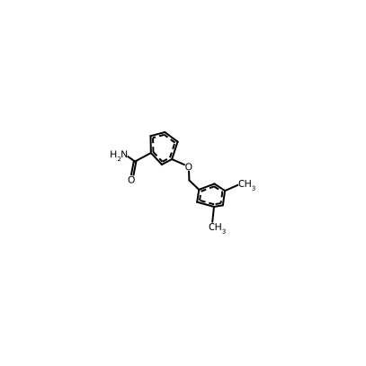 Cc1cc(C)cc(COc2cccc(C(N)=O)c2)c1